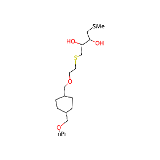 CCCOCC1CCC(COCCSCC(O)C(O)CSC)CC1